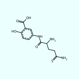 NC(=S)CCC(N)C(=O)Nc1ccc(O)c(C(=O)O)c1